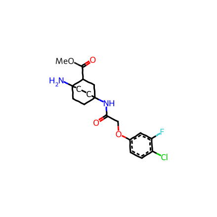 COC(=O)C1CC2(NC(=O)COc3ccc(Cl)c(F)c3)CCC1(N)CC2